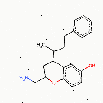 CC(CCc1ccccc1)C1CC(CN)Oc2ccc(O)cc21